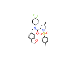 C=C1C[C@@H](C(=O)N(Cc2ccc3c(c2)OCC3)C2CCC(F)(F)CC2)N(S(=O)(=O)c2ccc(C)cc2)C1